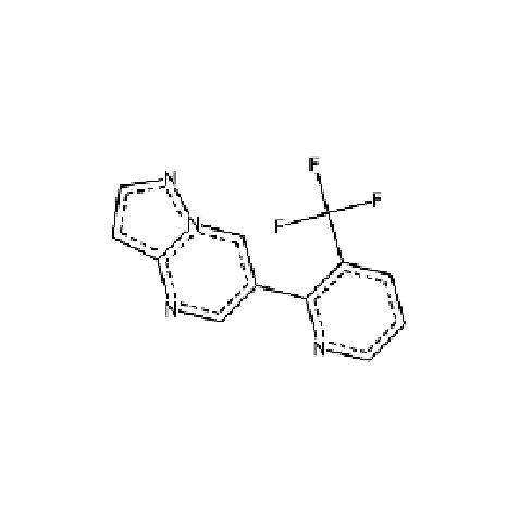 FC(F)(F)c1cccnc1-c1cnc2ccnn2c1